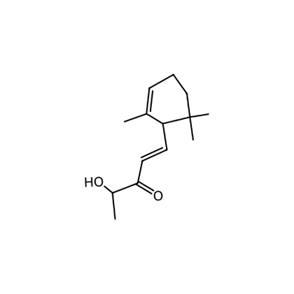 CC1=CCCC(C)(C)C1C=CC(=O)C(C)O